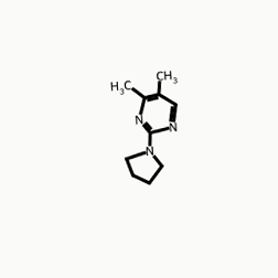 Cc1cnc(N2CCCC2)nc1C